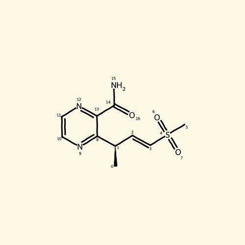 C[C@H](/C=C/S(C)(=O)=O)c1nccnc1C(N)=O